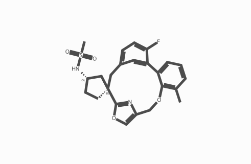 Cc1cccc2c1OCc1coc(n1)[C@]1(CC[C@H](NS(C)(=O)=O)C1)Cc1ccc(F)c-2c1